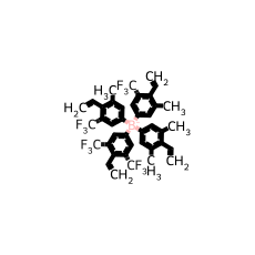 C=Cc1c(C)cc([B-](c2cc(C)c(C=C)c(C(F)(F)F)c2)(c2cc(C)c(C=C)c(C(F)(F)F)c2)c2cc(C(F)(F)F)c(C=C)c(C(F)(F)F)c2)cc1C